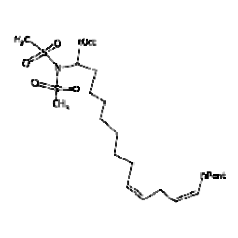 CCCCC/C=C\C/C=C\CCCCCCCC(CCCCCCCC)N(S(C)(=O)=O)S(C)(=O)=O